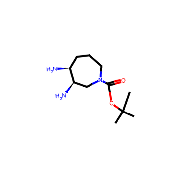 CC(C)(C)OC(=O)N1CCC[C@H](N)[C@H](N)C1